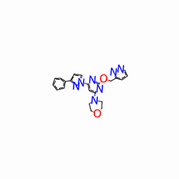 c1ccc(-c2ccn(-c3cc(N4CCOCC4)nc(OCc4cccnn4)n3)n2)cc1